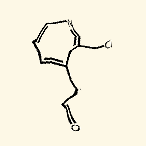 O=C[CH]c1cccnc1Cl